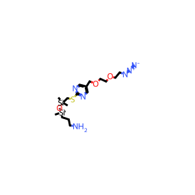 C[Si](C)(CCCN)O[Si](C)(C)CSc1ncc(COCCOCCN=[N+]=[N-])cn1